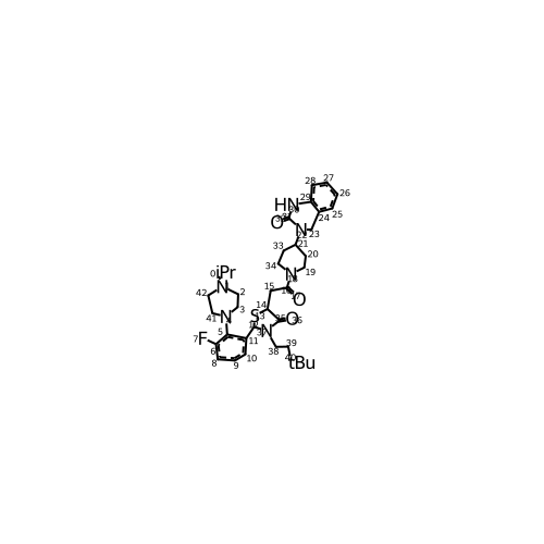 CC(C)N1CCN(c2c(F)cccc2C2SC(CC(=O)N3CCC(N4Cc5ccccc5NC4=O)CC3)C(=O)N2CCC(C)(C)C)CC1